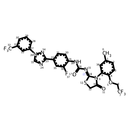 Cc1ccc(OCC(F)(F)F)c(N2C(=O)CS/C2=N\C(=O)Nc2ccc(-c3ncn(-c4cccc(C(F)(F)F)c4)n3)cc2F)c1